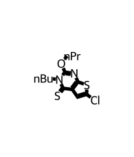 CCCCn1c(OCCC)nc2sc(Cl)cc2c1=S